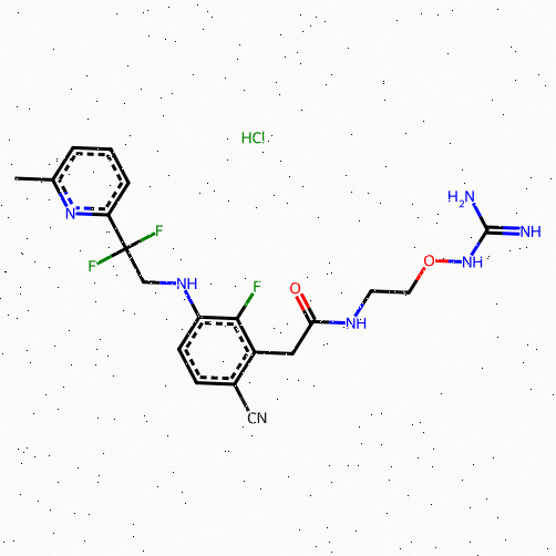 Cc1cccc(C(F)(F)CNc2ccc(C#N)c(CC(=O)NCCONC(=N)N)c2F)n1.Cl